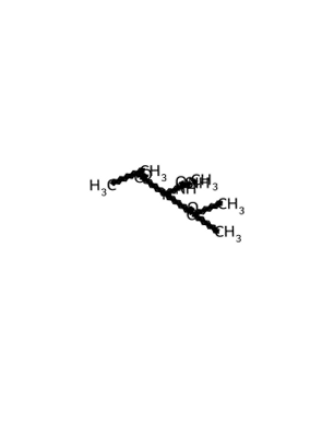 CCCCCCCCC(CC)OC(=O)CCCCCCCN(CCCCCCCC(=O)OC(CCCCCCCC)CCCCCCCC)CCCNC(=O)CSNC